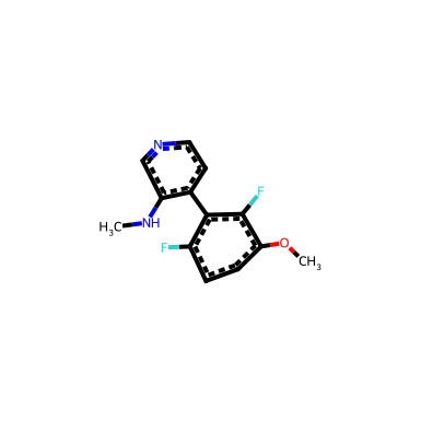 CNc1cnccc1-c1c(F)ccc(OC)c1F